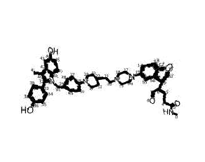 CNC(=O)CCC(C=O)c1coc2ccc(N3CCN(CCC4CCN(c5ccc(Cn6c(-c7ccc(O)cc7)c(C)c7cc(O)ccc76)cc5)CC4)CC3)cc12